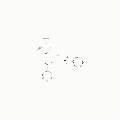 N#CC1(NC(=O)[C@@H]2C[C@@H](S(=O)(=O)c3ccccc3)CN2C(=O)c2ccccc2)CC1